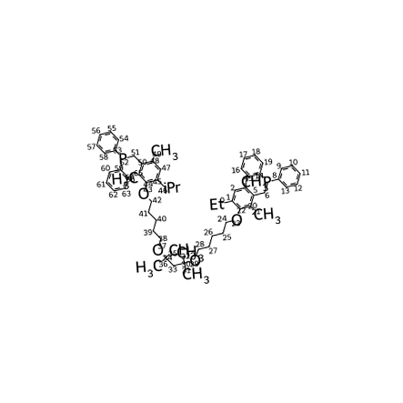 CCc1cc(C)c(CP(c2ccccc2)c2ccccc2)c(C)c1OCCCCCOC(C)(C)CC(C)(C)OCCCCCOc1c(C(C)C)cc(C)c(CP(c2ccccc2)c2ccccc2)c1C